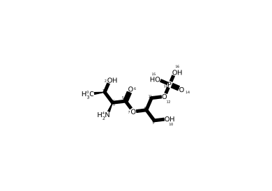 C[C@@H](O)[C@H](N)C(=O)OC(CO)COP(=O)(O)O